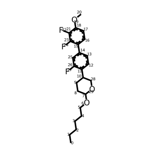 CCCCCCOC1CCC(c2ccc(-c3ccc(OC)c(F)c3F)cc2F)CO1